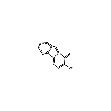 CC(=O)C1=CC=C2C(=Cc3ccccc32)C1=O